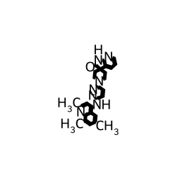 Cc1cc(C)c2nc(C)cc(Nc3ccc(N4CCC5(CC4)C(=O)Nc4ncccc45)nn3)c2c1